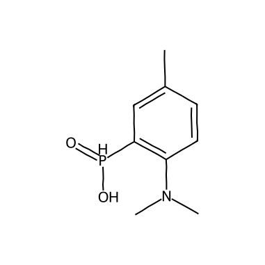 Cc1ccc(N(C)C)c([PH](=O)O)c1